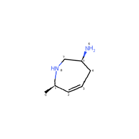 C[C@@H]1C=CC[C@H](N)CN1